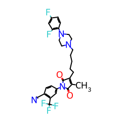 CC1=C(CCCCCN2CCN(c3ccc(F)cc3F)CC2)C(=O)N(c2ccc(C#N)c(C(F)(F)F)c2)C1=O